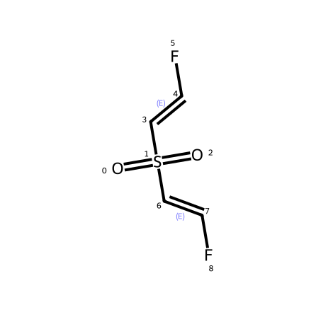 O=S(=O)(/C=C/F)/C=C/F